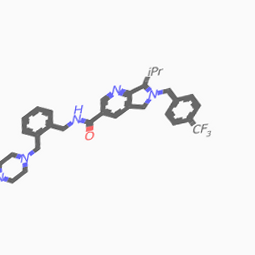 CC(C)C1c2ncc(C(=O)NCc3ccccc3CN3CCN(C)CC3)cc2CN1Cc1ccc(C(F)(F)F)cc1